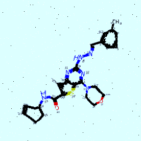 Cc1cccc(/C=N/Nc2nc(N3CCOCC3)c3sc(C(=O)NC4CCCC4)cc3n2)c1